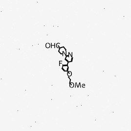 COCCCOc1ccc(F)c(-c2ccnc(N3CCC(C=O)CC3)c2)c1